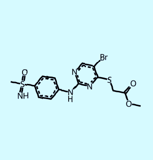 COC(=O)CSc1nc(Nc2ccc(S(C)(=N)=O)cc2)ncc1Br